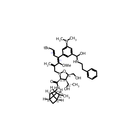 C=C(CN1O[C@@H](CO)[C@@H]([C@H](C)O)[C@H]1C(=O)N[C@H]1C[C@H]2C[C@@H]([C@@H]1C)C2(C)C)/C(OC)=C(\C=C\C(C)(C)C)c1cc(C(O)NCCc2ccccc2)cc(N(C)C)c1